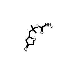 CC(C)(CC1CC(=O)CO1)OC(N)=O